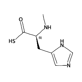 CN[C@@H](Cc1cnc[nH]1)C(=O)S